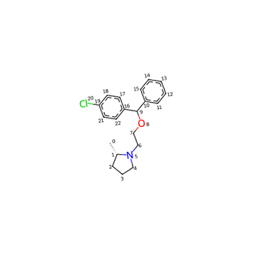 C[C@H]1CCCN1CCOC(c1ccccc1)c1ccc(Cl)cc1